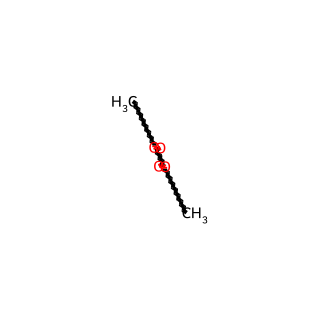 CCCCCCCCCCCCCCCCOC(=O)CC=CCC(=O)OCCCCCCCCCCCCCCCC